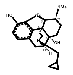 CN[C@H]1CC[C@@]2(O)[C@H]3Cc4ccc(O)c5c4[C@@]2(CCN3CC2CC2)[C@H]1O5